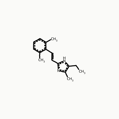 CCc1[nH]c(C=Cc2c(C)cccc2C)nc1C